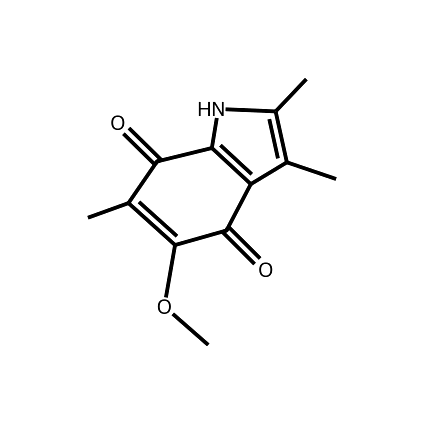 COC1=C(C)C(=O)c2[nH]c(C)c(C)c2C1=O